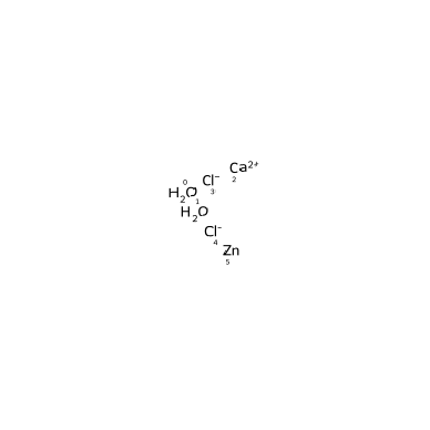 O.O.[Ca+2].[Cl-].[Cl-].[Zn]